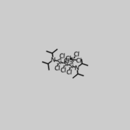 CC(C)N(C(C)C)[Si](Cl)(Cl)[Si](Cl)(Cl)[Si](Cl)(N(C(C)C)C(C)C)[Si](Cl)(Cl)Cl